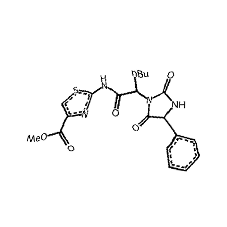 CCCCC(C(=O)Nc1nc(C(=O)OC)cs1)N1C(=O)NC(c2ccccc2)C1=O